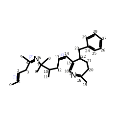 C/C=C/C/C(C)=N\C(C)(C)C(C)C/C=C\C1=CN=C(C)CCC1Cc1ccccc1